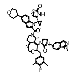 Cc1cc(CC2CCN=C3CCN(C(=O)c4cc5cc(C6CCOCC6)ccc5n4[C@@]4(c5noc(=O)[nH]5)C[C@@H]4C)[C@@H](C)C3=C2n2ccn(-c3ccc4c(cnn4C)c3)c2=O)cc(C)c1F